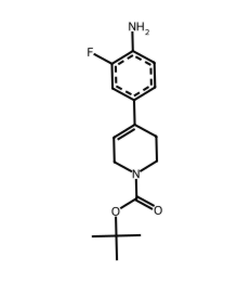 CC(C)(C)OC(=O)N1CC=C(c2ccc(N)c(F)c2)CC1